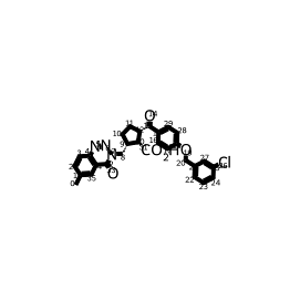 Cc1ccc2nnn(C[C@@H]3CC[C@H](C(=O)c4ccc(OCc5cccc(Cl)c5)cc4)[C@H]3C(=O)O)c(=O)c2c1